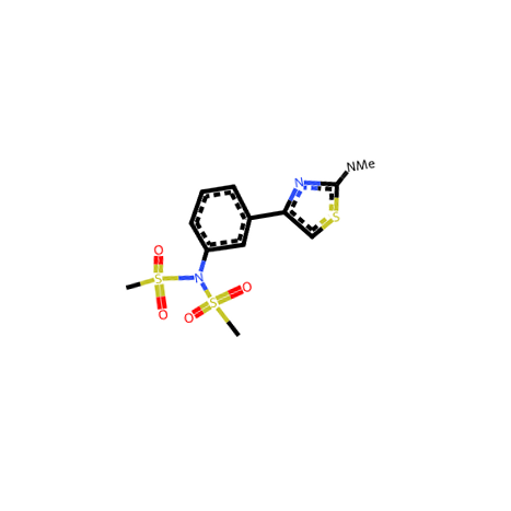 CNc1nc(-c2cccc(N(S(C)(=O)=O)S(C)(=O)=O)c2)cs1